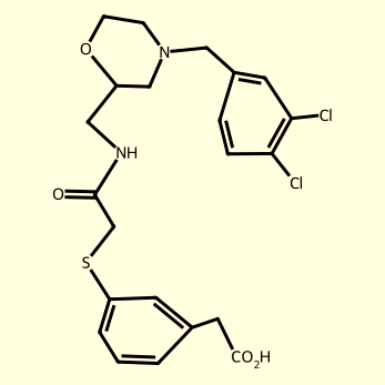 O=C(O)Cc1cccc(SCC(=O)NCC2CN(Cc3ccc(Cl)c(Cl)c3)CCO2)c1